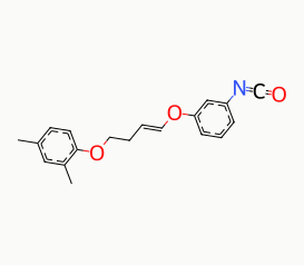 Cc1ccc(OCCC=COc2cccc(N=C=O)c2)c(C)c1